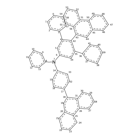 c1ccc(-c2cc(N(c3ccccc3)c3ccc(-c4cc5ccccc5c5ccccc45)cc3)cc(-c3ccccc3)c2-c2cc3ccccc3c3ccccc23)cc1